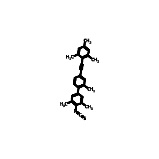 Cc1cc(C)c(C#Cc2ccc(-c3cc(C)c(N=C=S)c(C)c3)c(C)c2)c(C)c1